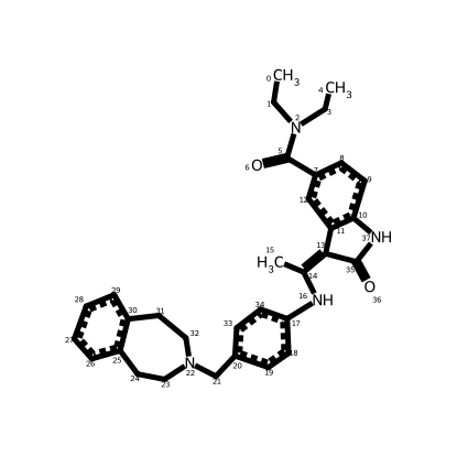 CCN(CC)C(=O)c1ccc2c(c1)C(=C(C)Nc1ccc(CN3CCc4ccccc4CC3)cc1)C(=O)N2